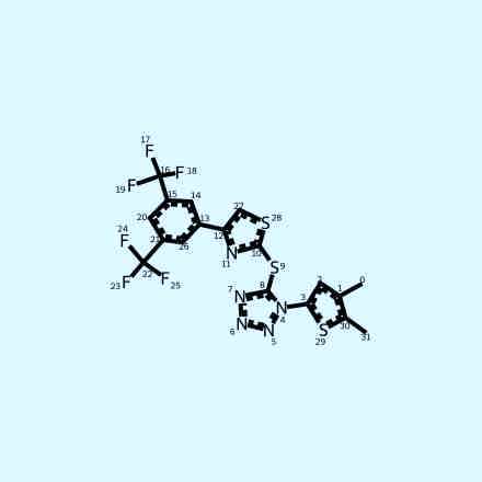 Cc1cc(-n2nnnc2Sc2nc(-c3cc(C(F)(F)F)cc(C(F)(F)F)c3)cs2)sc1C